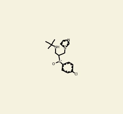 CC(C)(C)NCC(Cn1ccnc1)[S+]([O-])c1ccc(Cl)cc1